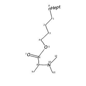 CCCCCCCCCCCOC(=O)C(C)N(C)C